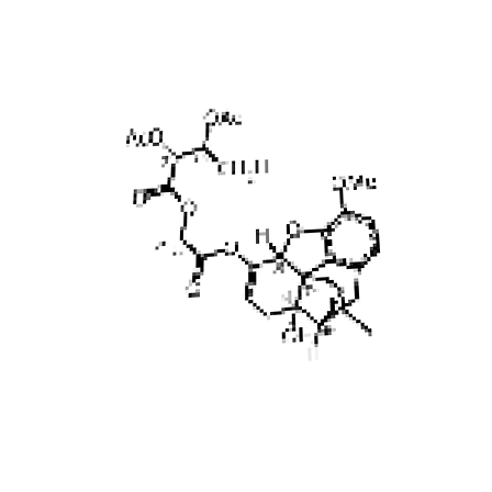 COc1ccc2c3c1O[C@H]1C(OC(=O)[C@H](C)OC(=O)[C@H](OC(C)=O)[C@@H](OC(C)=O)C(=O)O)=CC[C@@]4(O)[C@@H](C2)N(C)CC[C@]314